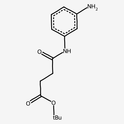 CC(C)(C)OC(=O)CCC(=O)Nc1cccc(N)c1